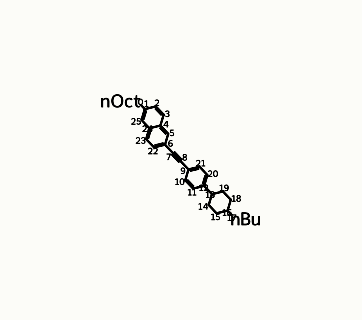 CCCCCCCCc1ccc2cc(C#Cc3ccc(C4CCC(CCCC)CC4)cc3)ccc2c1